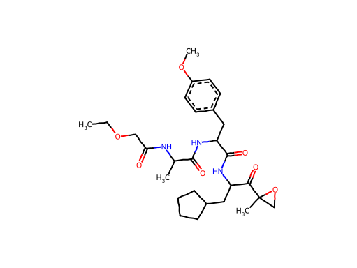 CCOCC(=O)NC(C)C(=O)NC(Cc1ccc(OC)cc1)C(=O)NC(CC1CCCC1)C(=O)C1(C)CO1